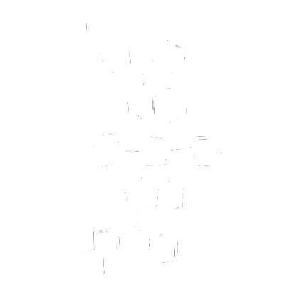 COc1ccc(N(c2ccc(C)c(C)c2)c2ccc3c4c(-c5ccccc5)c5c6ccc(N(c7ccc(C)c(C)c7)c7ccc(C)c(C)c7)c7cccc(c5c(-c5ccccc5)c4c4cccc2c43)c76)cc1C